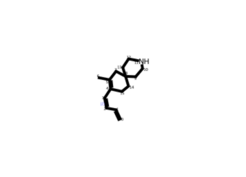 C=C/C=C\C1=C(C)CC2(CCNCC2)CC1